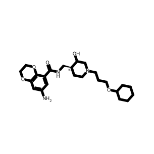 Nc1cc2c(c(C(=O)NC[C@@H]3CCN(CCCOC4CCCCC4)CC3O)c1)OCCO2